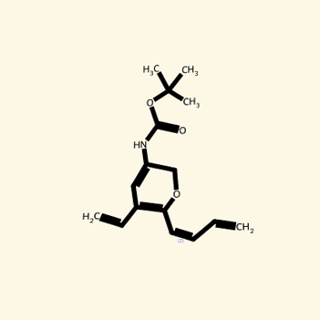 C=C/C=C\C1=C(C=C)C=C(NC(=O)OC(C)(C)C)CO1